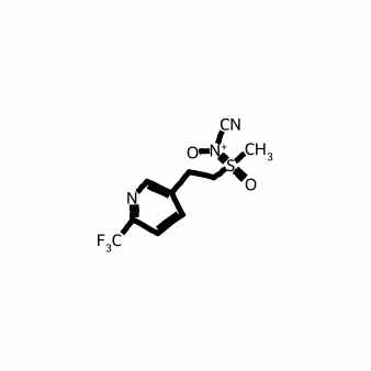 CS(=O)(CCc1ccc(C(F)(F)F)nc1)=[N+]([O-])C#N